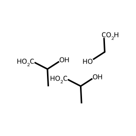 CC(O)C(=O)O.CC(O)C(=O)O.O=C(O)CO